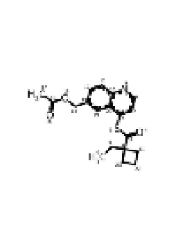 CCC1(C(=O)Sc2ccnc3ccc(COC(C)=O)cc23)CCC1